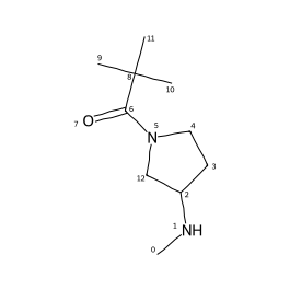 CNC1CCN(C(=O)C(C)(C)C)C1